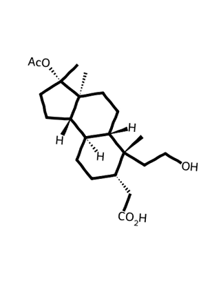 CC(=O)O[C@@]1(C)CC[C@H]2[C@@H]3CC[C@@H](CC(=O)O)[C@@](C)(CCO)[C@H]3CC[C@@]21C